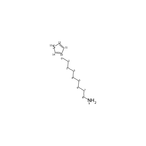 CCCCCCCCCN.c1ccsc1